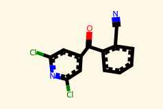 N#Cc1ccccc1C(=O)c1cc(Cl)nc(Cl)c1